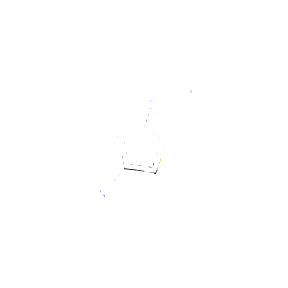 Nc1csc(NC=O)n1